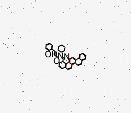 O=C(/C=C/c1ccccc1O)N(/C(=N/C1CCCCC1)C1CC=Cc2ccc3c(ccc4c5ccccc5ccc34)c21)C1CCCCC1